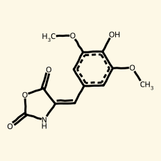 COc1cc(C=C2NC(=O)OC2=O)cc(OC)c1O